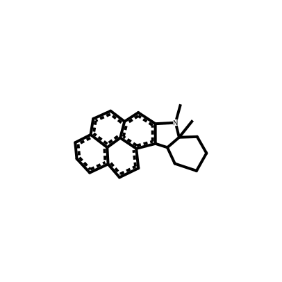 CN1c2cc3ccc4cccc5ccc(c2C2CCCCC21C)c3c45